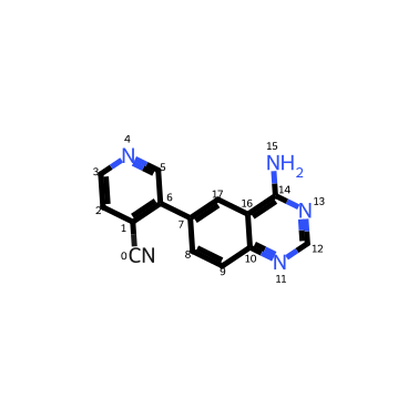 N#Cc1ccncc1-c1ccc2ncnc(N)c2c1